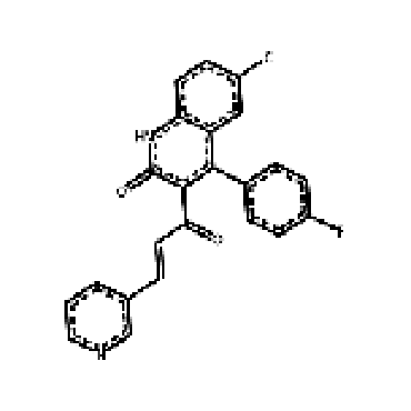 O=C(/C=C/c1cccnc1)c1c(-c2ccc(F)cc2)c2cc(Cl)ccc2[nH]c1=O